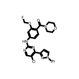 CC(C)n1ccc(-c2nc(Nc3ccc(C(=O)N4CCOCC4)c(OCF)c3)ncc2Cl)n1